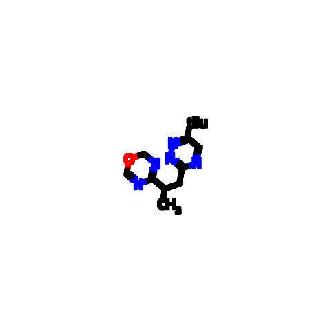 CC(Cc1ncc(C(C)(C)C)nn1)C1=NCOC=N1